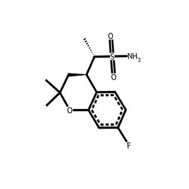 C[C@@H]([C@@H]1CC(C)(C)Oc2cc(F)ccc21)S(N)(=O)=O